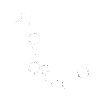 N=C(N)NCc1cccc(CNc2ncnc3c2ncn3C[C@@H](NC(=O)OCc2ccccc2)C(=O)O)c1